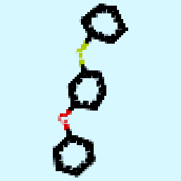 c1ccc(Oc2cccc(Sc3ccccc3)c2)cc1